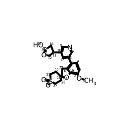 COc1ccc(-c2cncc(C3COB(O)C3)c2)c2c1OC1(CCS(=O)(=O)CC1)C2